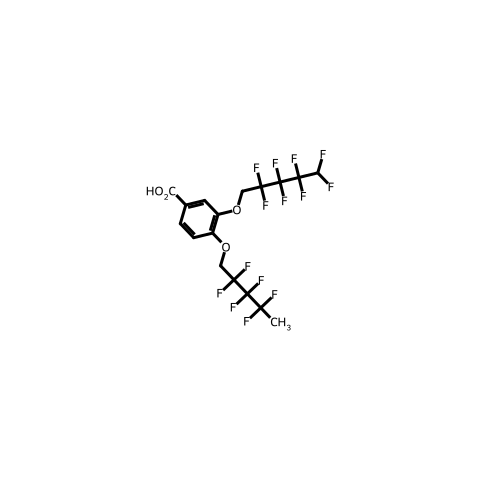 CC(F)(F)C(F)(F)C(F)(F)COc1ccc(C(=O)O)cc1OCC(F)(F)C(F)(F)C(F)(F)C(F)F